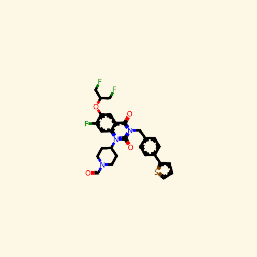 O=CN1CCC(n2c(=O)n(Cc3ccc(-c4cccs4)cc3)c(=O)c3cc(OC(CF)CF)c(F)cc32)CC1